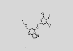 CCOCc1cc(OCc2cc(OC)c(OC)c(OC)c2)n2nccc2n1